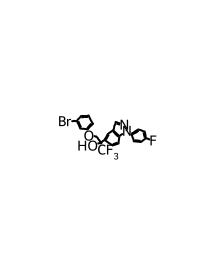 OC(COc1cccc(Br)c1)(c1ccc2c(cnn2-c2ccc(F)cc2)c1)C(F)(F)F